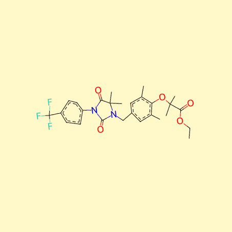 CCOC(=O)C(C)(C)Oc1c(C)cc(CN2C(=O)N(c3ccc(C(F)(F)F)cc3)C(=O)C2(C)C)cc1C